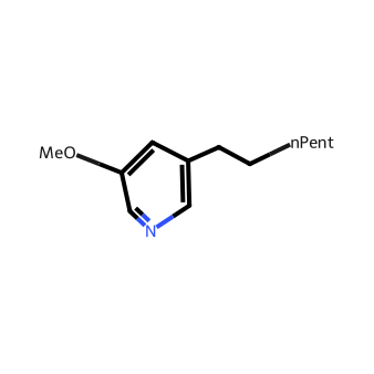 CCCCCCCc1cncc(OC)c1